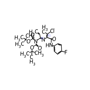 C=C/C(=N\C(C(=O)Nc1ccc(F)cc1)=C(/C)Cl)N(C(=O)OC(C)(C)C)C(=O)OC(C)(C)C